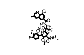 CCOc1c(C(N)=O)cc([C@@](O)(CNC(=O)c2cc(Cl)c3ncc(C)cc3c2)C(F)(F)F)nc1-c1ccc(F)c(F)c1Cl